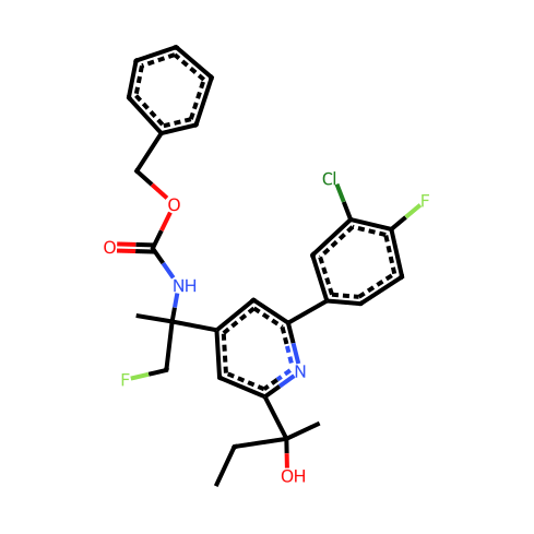 CCC(C)(O)c1cc(C(C)(CF)NC(=O)OCc2ccccc2)cc(-c2ccc(F)c(Cl)c2)n1